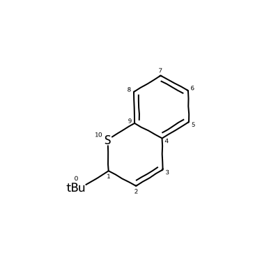 CC(C)(C)C1C=Cc2ccccc2S1